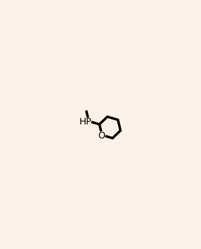 CPC1CCCCO1